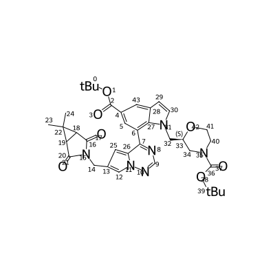 CC(C)(C)OC(=O)c1cc(-c2ncnn3cc(CN4C(=O)C5C(C4=O)C5(C)C)cc23)c2c(ccn2C[C@@H]2CN(C(=O)OC(C)(C)C)CCO2)c1